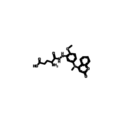 COc1ccc(N(C)c2cc(=O)oc3ccccc23)cc1NNC(=O)C(N)CCC(=O)O